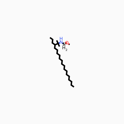 CCCCCCCCCCCCCCCCC(CCC)C(C)(C)N[SiH2]OC